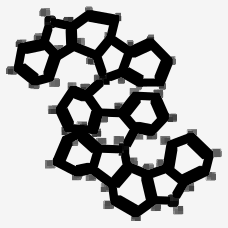 C1=CC2c3ccccc3N(c3ccccc3-c3ccccc3-n3c4ccccc4c4ccc5oc6ccccc6c5c43)C2c2c1oc1ccccc21